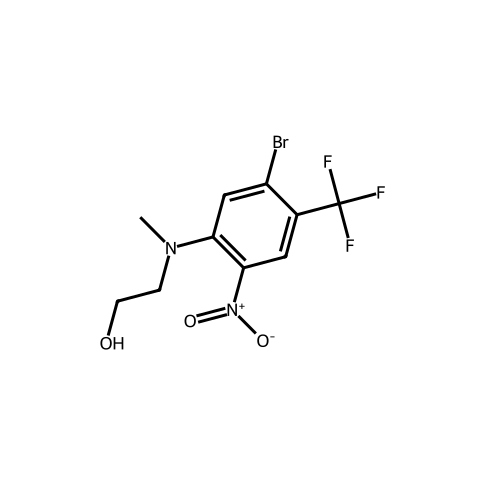 CN(CCO)c1cc(Br)c(C(F)(F)F)cc1[N+](=O)[O-]